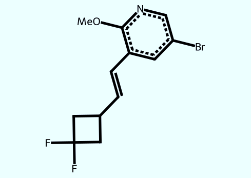 COc1ncc(Br)cc1C=CC1CC(F)(F)C1